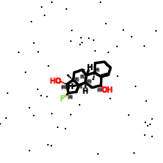 C[C@]12CC[C@H]3[C@@H](C[C@H](O)C4=CCCC[C@@]43C)[C@@H]1C[C@@H](F)[C@@H]2O